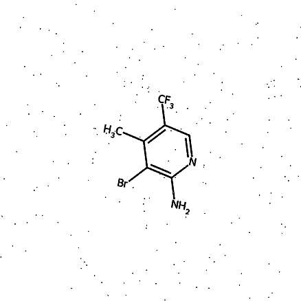 Cc1c(C(F)(F)F)cnc(N)c1Br